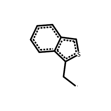 [CH2]Cc1scc2ccccc12